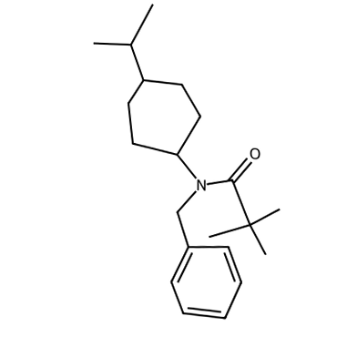 CC(C)C1CCC(N(Cc2ccccc2)C(=O)C(C)(C)C)CC1